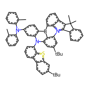 Cc1ccccc1N(c1ccc2c(c1)N(c1cccc3c1sc1cc(C(C)(C)C)ccc13)c1cc(C(C)(C)C)cc3c1B2c1cccc2c4c(n-3c12)-c1ccccc1C4(C)C)c1ccccc1C